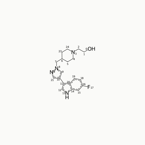 OCCN1CCC(Cn2cc(-c3c[nH]c4cc(F)ccc34)cn2)CC1